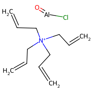 C=CC[N+](CC=C)(CC=C)CC=C.[O]=[Al][Cl]